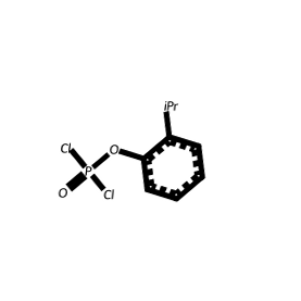 CC(C)c1ccccc1OP(=O)(Cl)Cl